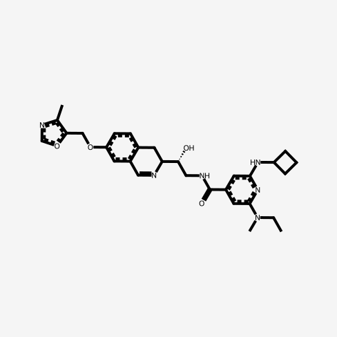 CCN(C)c1cc(C(=O)NC[C@@H](O)C2Cc3ccc(OCc4ocnc4C)cc3C=N2)cc(NC2CCC2)n1